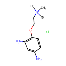 CC[N+](C)(CC)CCOc1ccc(N)cc1N.[Cl-]